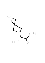 CC(N)[C@H](C)N1CC2(CNC2)C1